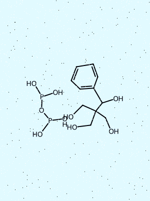 OCC(CO)(CO)C(O)c1ccccc1.OP(O)OP(O)O